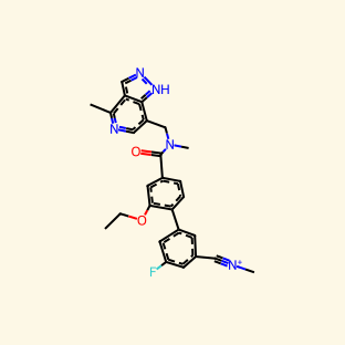 CCOc1cc(C(=O)N(C)Cc2cnc(C)c3cn[nH]c23)ccc1-c1cc(F)cc(C#[N+]C)c1